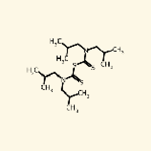 CC(C)CN(CC(C)C)C(=S)SC(=S)N(CC(C)C)CC(C)C